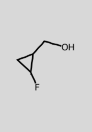 OCC1C[C]1F